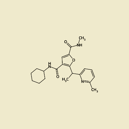 CNC(=O)c1cc(C(=O)NC2CCCCC2)c(C(C)c2cccc(C)n2)o1